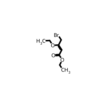 CCOC(=O)C=C(CBr)OCC